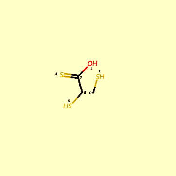 CS.OC(=S)CS